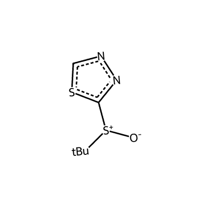 CC(C)(C)[S+]([O-])c1nncs1